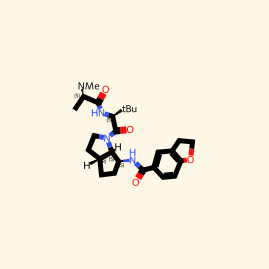 CN[C@@H](C)C(=O)N[C@H](C(=O)N1CC[C@H]2CC[C@H](NC(=O)c3ccc4c(c3)CCO4)[C@H]21)C(C)(C)C